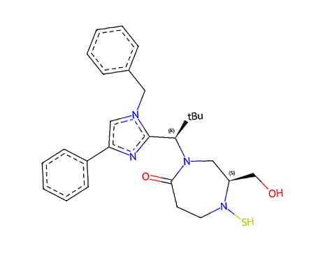 CC(C)(C)[C@H](c1nc(-c2ccccc2)cn1Cc1ccccc1)N1C[C@@H](CO)N(S)CCC1=O